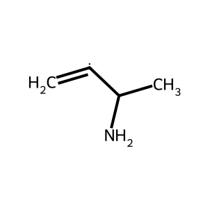 C=[C]C(C)N